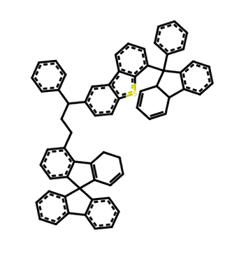 C1=CC2c3ccccc3C(c3ccccc3)(c3cccc4c3sc3ccc(C(CCc5cccc6c5C5=C(C=CCC5)C65c6ccccc6-c6ccccc65)c5ccccc5)cc34)C2C=C1